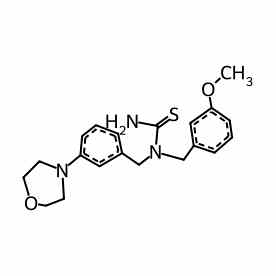 COc1cccc(CN(Cc2cccc(N3CCOCC3)c2)C(N)=S)c1